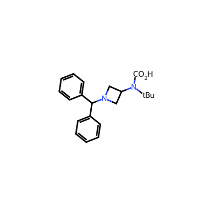 CC(C)(C)N(C(=O)O)C1CN(C(c2ccccc2)c2ccccc2)C1